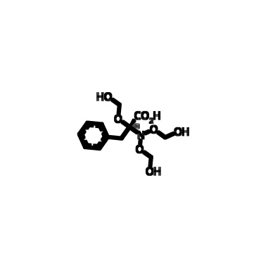 O=C(O)[C@@](Cc1ccccc1)(OCO)N(OCO)OCO